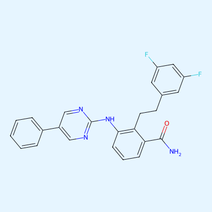 NC(=O)c1cccc(Nc2ncc(-c3ccccc3)cn2)c1CCc1cc(F)cc(F)c1